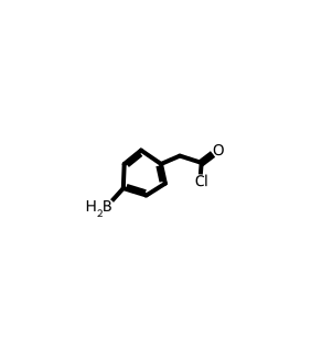 Bc1ccc(CC(=O)Cl)cc1